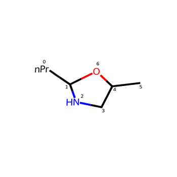 CCCC1NCC(C)O1